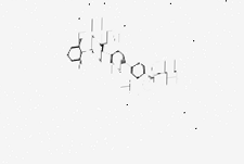 CC(C)(C)c1ccc(-c2ccc(-c3nc(-c4c(F)cccc4Cl)[nH]c3Br)cn2)cc1